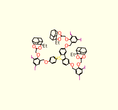 CCC1(OC(=O)COc2c(I)cc(I)cc2COc2ccc([SH]3c4ccc(OCc5cc(I)cc(I)c5OCC(=O)OC5(CC)C6CC7CC(C6)CC5C7)cc4-c4cc(OCc5cc(I)cc(I)c5OCC(=O)OC5(CC)C6CC7CC(C6)CC5C7)ccc43)cc2)C2CC3CC(C2)CC1C3